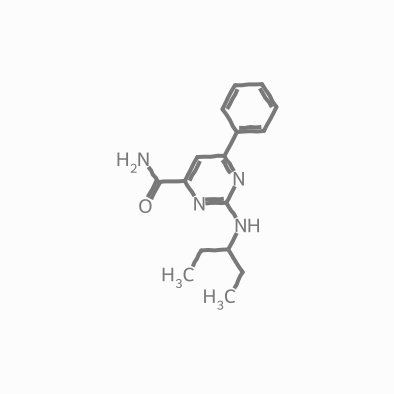 CCC(CC)Nc1nc(C(N)=O)cc(-c2ccccc2)n1